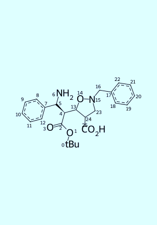 CC(C)(C)OC(=O)[C@@H](C(N)c1ccccc1)C1ON(Cc2ccccc2)CC1C(=O)O